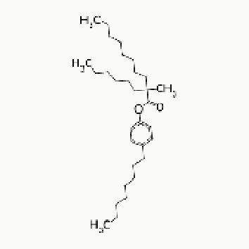 CCCCCCCCc1ccc(OC(=O)C(C)(CCCCCC)CCCCCCCC)cc1